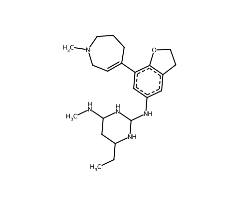 CCC1CC(NC)NC(Nc2cc3c(c(C4=CCN(C)CCC4)c2)OCC3)N1